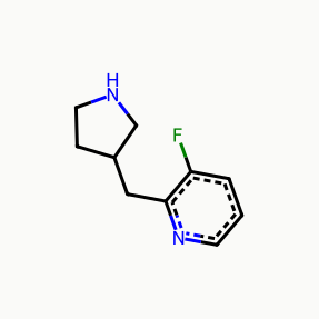 Fc1cccnc1CC1CCNC1